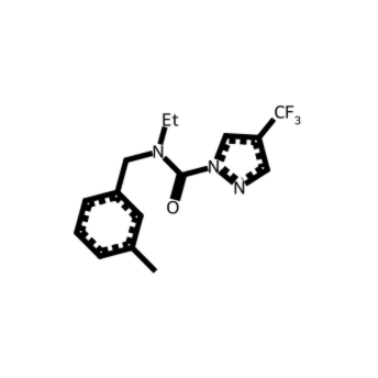 CCN(Cc1cccc(C)c1)C(=O)n1cc(C(F)(F)F)cn1